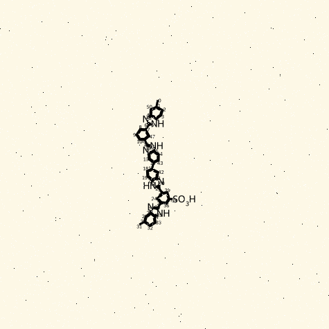 Cc1ccc2[nH]c(-c3cccc(-c4nc5cc(-c6ccc7[nH]c(-c8cc(-c9nc%10cc(C)ccc%10[nH]9)cc(S(=O)(=O)O)c8)nc7c6)ccc5[nH]4)c3)nc2c1